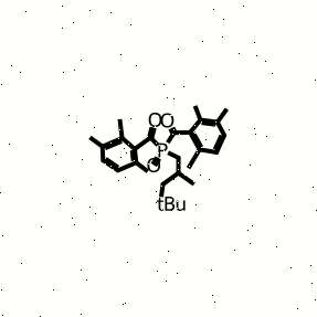 Cc1ccc(C)c(C(=O)P(=O)(CC(C)CC(C)(C)C)C(=O)c2c(C)ccc(C)c2C)c1C